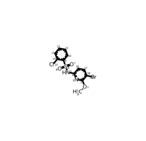 COc1nc(NS(=O)(=O)c2ccccc2Cl)ccc1Br